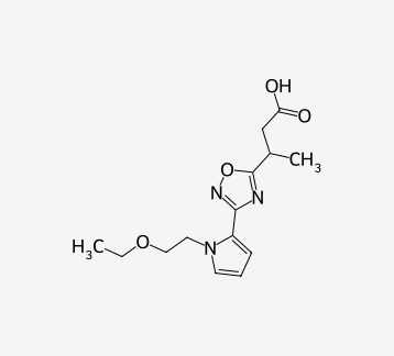 CCOCCn1cccc1-c1noc(C(C)CC(=O)O)n1